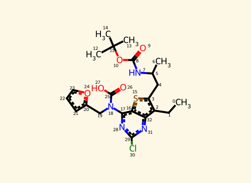 CCc1c(CC(C)NC(=O)OC(C)(C)C)sc2c(N(Cc3ccco3)C(=O)O)nc(Cl)nc12